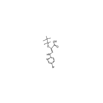 CC(C)(C)[Si](C)(C)OC(=CNc1ccc(Br)cn1)C(=O)O